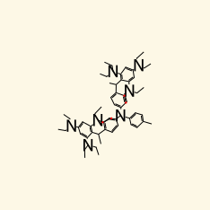 CCN(CC)c1cc(N(CC)CC)c(C(C)c2ccc(N(c3ccc(C)cc3)c3ccc(C(C)c4c(N(CC)CC)cc(N(CC)CC)cc4N(CC)CC)cc3)cc2)c(N(CC)CC)c1